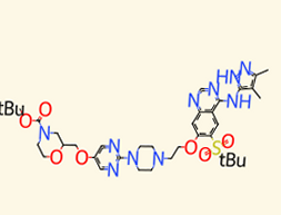 Cc1n[nH]c(Nc2ncnc3cc(OCCN4CCN(c5ncc(OCC6CN(C(=O)OC(C)(C)C)CCO6)cn5)CC4)c(S(=O)(=O)C(C)(C)C)cc23)c1C